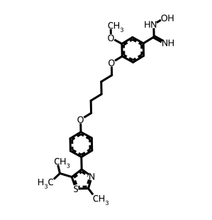 COc1cc(C(=N)NO)ccc1OCCCCCOc1ccc(-c2nc(C)sc2C(C)C)cc1